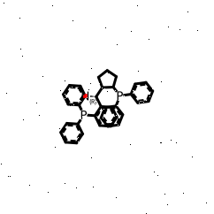 CN(C)[C@@H](c1ccccc1P(c1ccccc1)c1ccccc1)C1CCCC1P(c1ccccc1)c1ccccc1